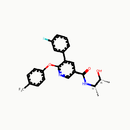 C[C@H](NC(=O)c1cnc(Oc2ccc(C(F)(F)F)cc2)c(-c2cccc(F)c2)c1)[C@@H](C)O